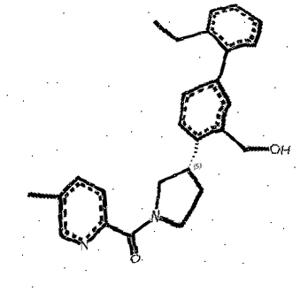 CCc1ccccc1-c1ccc([C@@H]2CCN(C(=O)c3ccc(C)cn3)C2)c(CO)c1